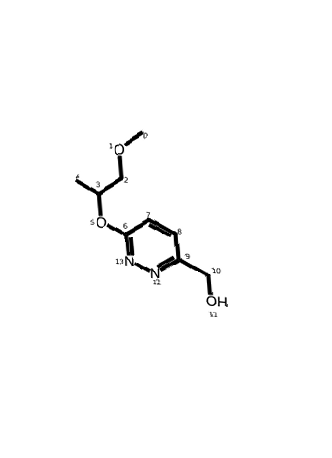 COCC(C)Oc1ccc(CO)nn1